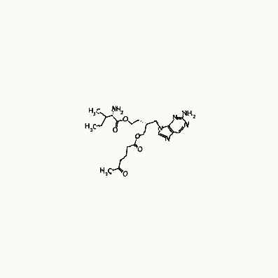 CCC(C)[C@H](N)C(=O)OCC[C@@H](COC(=O)CCCC(C)=O)Cn1cnc2cnc(N)nc21